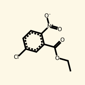 CCOC(=O)c1cc(Cl)ccc1[N+](=O)[O-]